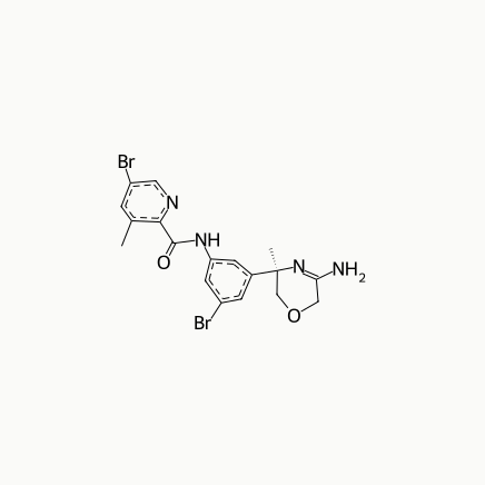 Cc1cc(Br)cnc1C(=O)Nc1cc(Br)cc([C@]2(C)COCC(N)=N2)c1